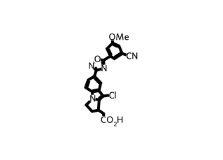 COc1cc(C#N)cc(-c2nc(-c3ccc4c(c3)c(Cl)c3n4CCC3CC(=O)O)no2)c1